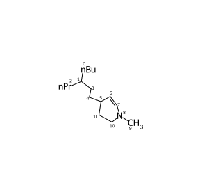 CCCCC(CCC)CCC1C=CN(C)CC1